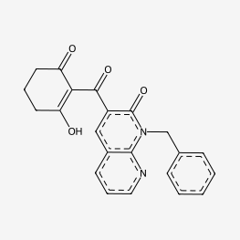 O=C1CCCC(O)=C1C(=O)c1cc2cccnc2n(Cc2ccccc2)c1=O